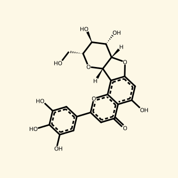 O=c1cc(-c2cc(O)c(O)c(O)c2)oc2c3c(cc(O)c12)O[C@H]1[C@@H](O)[C@H](O)[C@@H](CO)O[C@@H]31